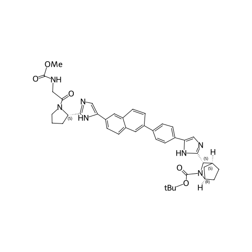 COC(=O)NCC(=O)N1CCC[C@H]1c1ncc(-c2ccc3cc(-c4ccc(-c5cnc([C@@H]6[C@H]7CC[C@H](C7)N6C(=O)OC(C)(C)C)[nH]5)cc4)ccc3c2)[nH]1